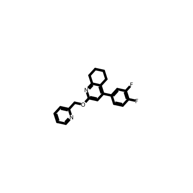 Fc1ccc(-c2cc(OCc3ccccn3)nc3c2CCCC3)cc1F